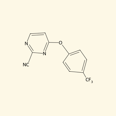 N#Cc1nccc(Oc2ccc(C(F)(F)F)cc2)n1